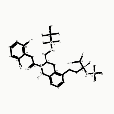 C[C@H]1c2cccc(CC[C@@](C)(O[Si](C)(C)C)C(F)F)c2C[C@H](CO[Si](C)(C)C(C)(C)C)N1C(=O)Cc1c(F)cccc1Cl